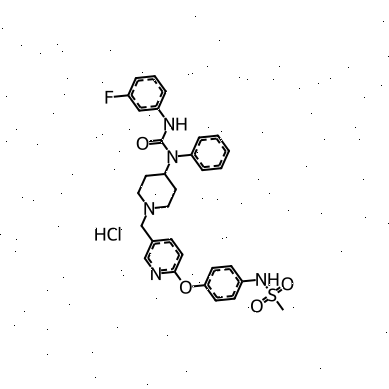 CS(=O)(=O)Nc1ccc(Oc2ccc(CN3CCC(N(C(=O)Nc4cccc(F)c4)c4ccccc4)CC3)cn2)cc1.Cl